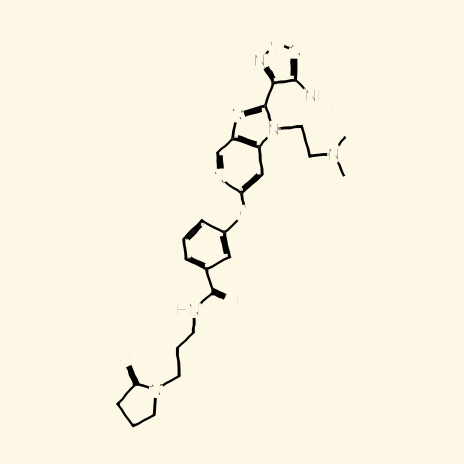 CN(C)CCn1c(-c2nonc2N)nc2cnc(Oc3cccc(C(=O)NCCCN4CCCC4=O)c3)cc21